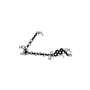 CC(C)CCC[C@@H](C)C1CCC2C3CC=C4C[C@@H](OC(=O)NCCCOCCOCCOCCOCCOP(=O)(O)O[C@H](CO)COCCOCCOCCCCCCN)CC[C@]4(C)C3CC[C@@]21C